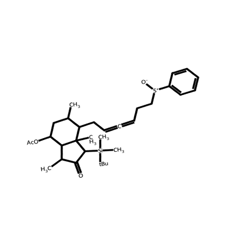 CC(=O)OC1CC(C)C(CC=C=CCC[S+]([O-])c2ccccc2)C2(C)C1C(C)C(=O)C2[Si](C)(C)C(C)(C)C